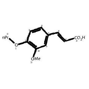 CCCOc1ccc(C=CC(=O)O)cc1OC